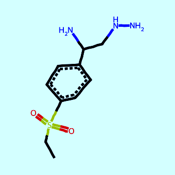 CCS(=O)(=O)c1ccc(C(N)CNN)cc1